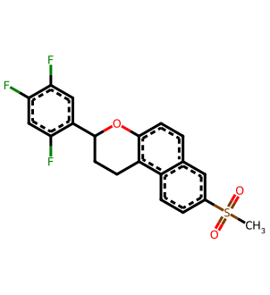 CS(=O)(=O)c1ccc2c3c(ccc2c1)OC(c1cc(F)c(F)cc1F)CC3